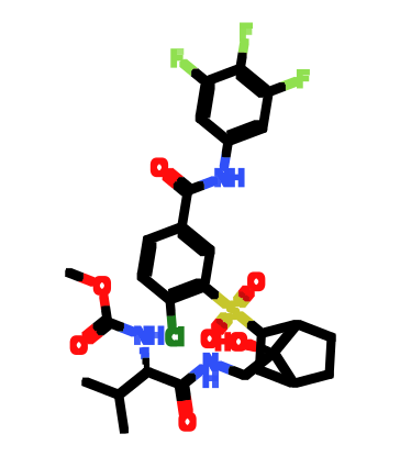 COC(=O)N[C@H](C(=O)NC[C@@]1(O)C2CCC1C(S(=O)(=O)c1cc(C(=O)Nc3cc(F)c(F)c(F)c3)ccc1Cl)C2)C(C)C